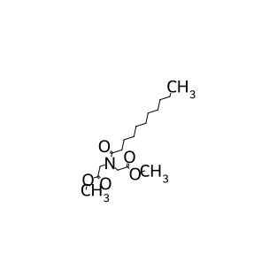 CCCCCCCCCCC(=O)N(CC(=O)OC)CC(=O)OC